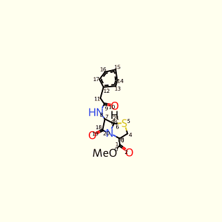 COC(=O)[C@@H]1CS[C@@H]2C(NC(=O)Cc3ccccc3)C(=O)N21